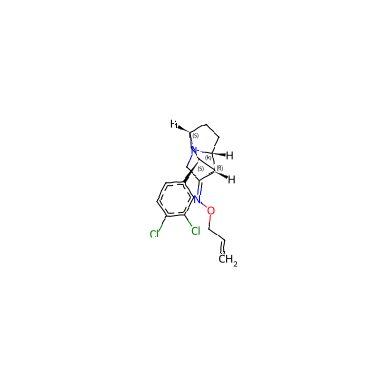 C=CCON=C1CN2[C@H]3CC[C@@H]2[C@H]1[C@@H](c1ccc(Cl)c(Cl)c1)C3